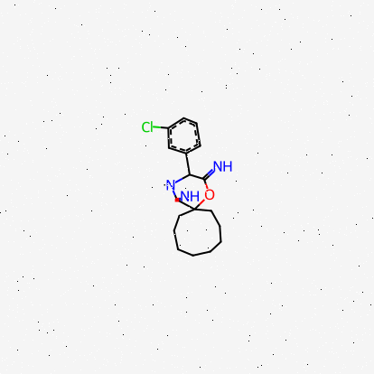 N=C1OC2(CCCCCCCC2)C2(CCN2)[N]C1c1cccc(Cl)c1